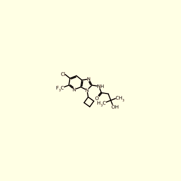 CC(C)(O)CC(=O)Nc1nc2cc(Cl)c(C(F)(F)F)nc2n1C1CCC1